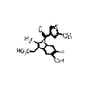 CC1=C(CC(=O)O)C2=CC(O)=C(F)CC2N1C(=O)c1csc(O)c1